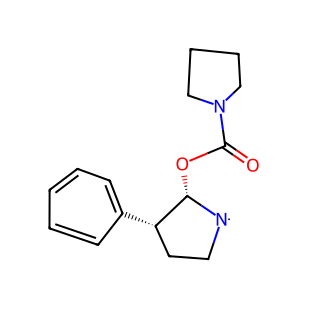 O=C(O[C@@H]1[N]CC[C@@H]1c1ccccc1)N1CCCC1